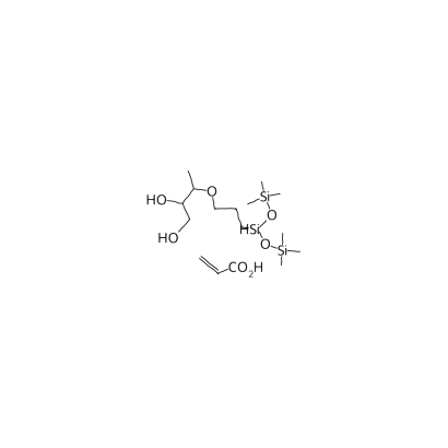 C=CC(=O)O.CC(OCCC[SiH](O[Si](C)(C)C)O[Si](C)(C)C)C(O)CO